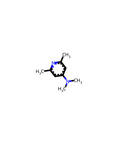 Cc1cc(N(C)C)cc(C)n1